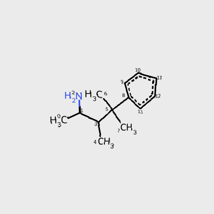 CC(N)C(C)C(C)(C)c1ccccc1